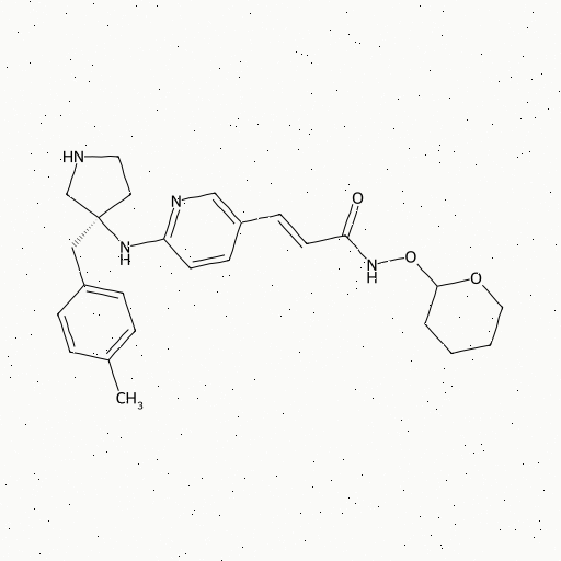 Cc1ccc(C[C@@]2(Nc3ccc(C=CC(=O)NOC4CCCCO4)cn3)CCNC2)cc1